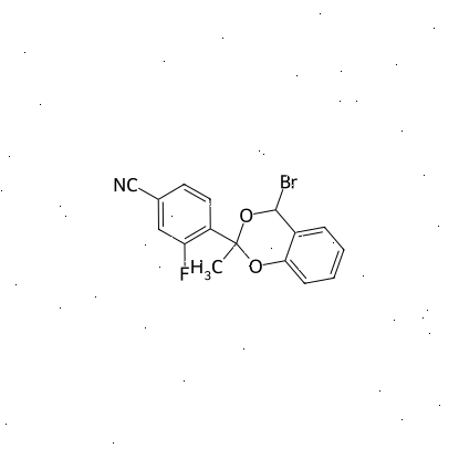 CC1(c2ccc(C#N)cc2F)Oc2ccccc2C(Br)O1